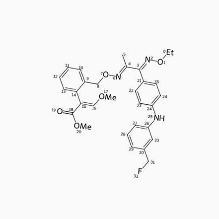 CCO/N=C(/C(C)=N/OCc1ccccc1/C(=C\OC)C(=O)OC)c1ccc(Nc2cccc(CF)c2)cc1